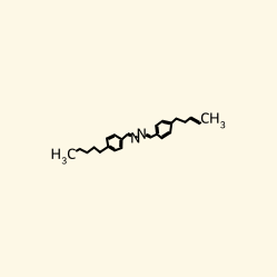 CC=CCCc1ccc(C=NN=Cc2ccc(CCCCC)cc2)cc1